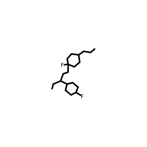 CCCC1CCC(F)(CCC(CC)C2CCC(F)CC2)CC1